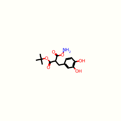 CC(C)(C)OC(=O)C(Cc1ccc(O)c(O)c1)C(=O)ON